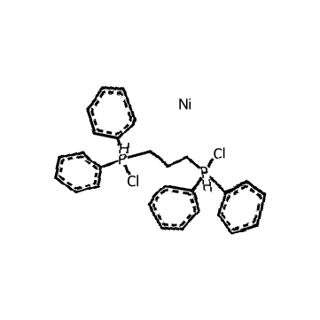 Cl[PH](CCC[PH](Cl)(c1ccccc1)c1ccccc1)(c1ccccc1)c1ccccc1.[Ni]